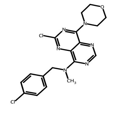 CN(Cc1ccc(Cl)cc1)c1ncnc2c(N3CCOCC3)nc(Cl)nc12